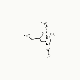 C=C/C=C(/CNC1CC1)C[C@@H](C/C(F)=C\C=C/N)OCCCOC